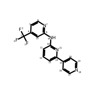 FC(F)(F)c1ccnc(Nc2cccc(-c3ccncc3)n2)c1